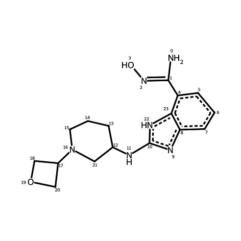 NC(=NO)c1cccc2nc(NC3CCCN(C4COC4)C3)[nH]c12